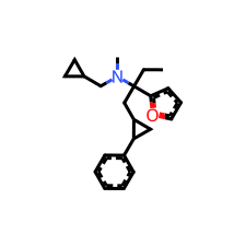 CCC(CC1CC1c1ccccc1)(c1ccco1)N(C)CC1CC1